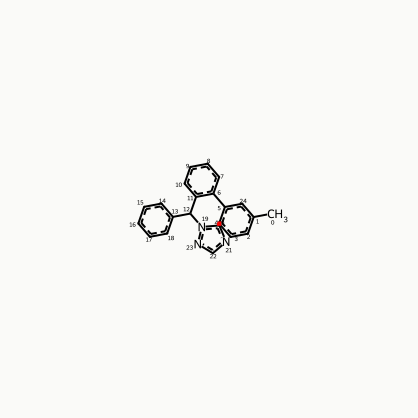 Cc1cccc(-c2ccccc2C(c2ccccc2)n2cncn2)c1